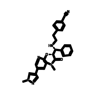 CN1C(=O)[C@@H]([C@H](NCCc2ccc(C#N)cc2)c2ccccc2)Oc2ncc(-c3cnn(C)c3)cc21